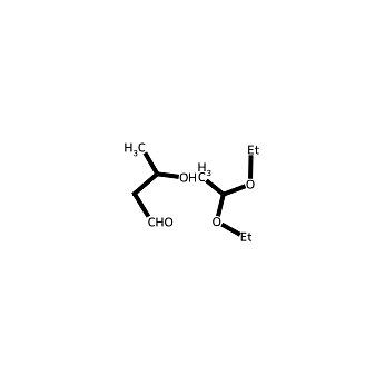 CC(O)CC=O.CCOC(C)OCC